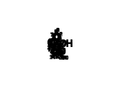 C=C1C=C[C@@]2(C)C(=C1)CC[C@H]1[C@@H]3C[C@H](C)[C@](C)(C(=O)CC)[C@@]3(C)C[C@H](O)[C@@]12Cl